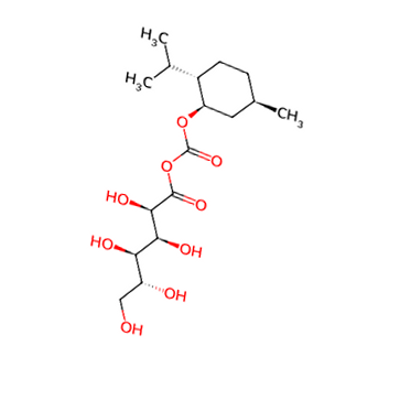 CC(C)[C@@H]1CC[C@@H](C)C[C@H]1OC(=O)OC(=O)[C@H](O)[C@@H](O)[C@H](O)[C@H](O)CO